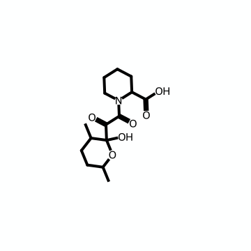 CC1CCC(C)C(O)(C(=O)C(=O)N2CCCCC2C(=O)O)O1